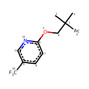 CC(=O)C(C)(C)COc1ccc(C(F)(F)F)cn1